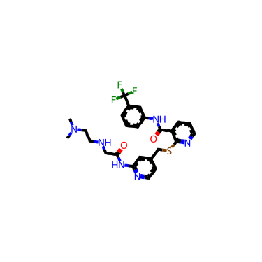 CN(C)CCNCC(=O)Nc1cc(CSc2ncccc2C(=O)Nc2cccc(C(F)(F)F)c2)ccn1